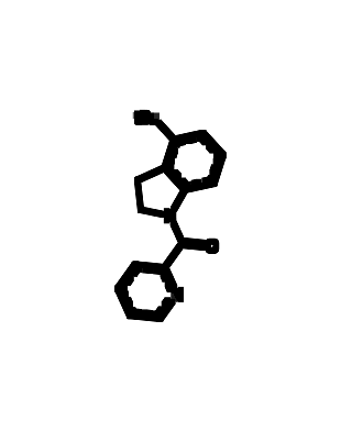 CC(C)(C)c1cccc2c1CCN2C(=O)c1ccccn1